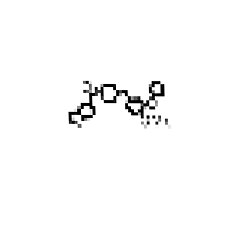 COc1ccc(CC2CCN(C(=O)c3ccc4[nH]ccc4c3)CC2)cc1OC1CCCC1